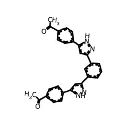 CC(=O)c1ccc(-c2cc(-c3cccc(-c4cc(-c5ccc(C(C)=O)cc5)[nH]n4)c3)n[nH]2)cc1